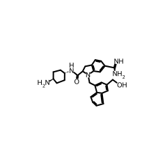 N=C(N)c1ccc2c(c1)N(Cc1cc(CO)cc3ccccc13)C(C(=O)N[C@H]1CC[C@H](N)CC1)C2